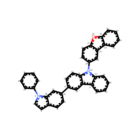 c1ccc(-n2ccc3ccc(-c4ccc5c(c4)c4ccccc4n5-c4ccc5oc6ccccc6c5c4)cc32)cc1